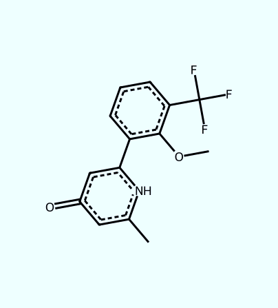 COc1c(-c2cc(=O)cc(C)[nH]2)cccc1C(F)(F)F